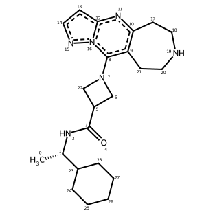 C[C@H](NC(=O)C1CN(c2c3c(nc4ccnn24)CCNCC3)C1)C1CCCCC1